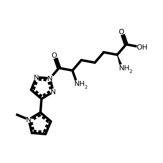 Cn1cccc1-c1cnn(C(=O)C(N)CCC[C@H](N)C(=O)O)n1